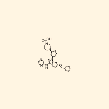 O=C(O)N1CCCN(c2cc(-n3nc(Nc4cnccn4)c4ccc(OCc5ccccc5)cc43)ccn2)CC1